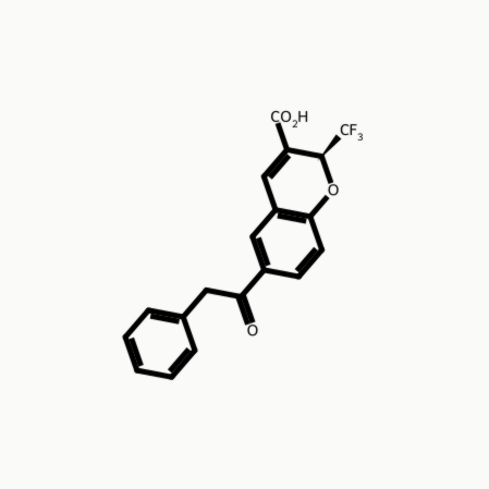 O=C(O)C1=Cc2cc(C(=O)Cc3ccccc3)ccc2O[C@@H]1C(F)(F)F